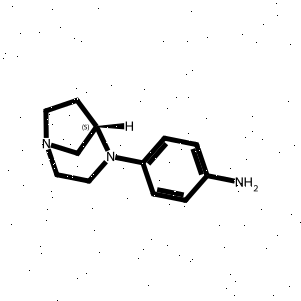 Nc1ccc(N2CCN3CC[C@H]2C3)cc1